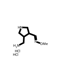 CON=CC1CNCC1CN.Cl.Cl